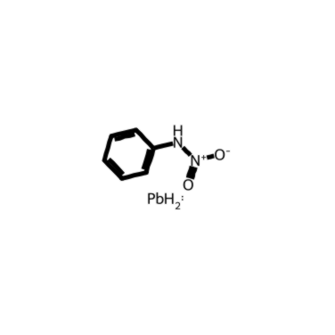 O=[N+]([O-])Nc1ccccc1.[PbH2]